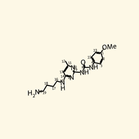 COc1ccc(NC(=O)Nc2nc(C)cc(NCCCCN)n2)cc1